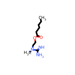 CCCCCC(=O)OCCN(C)C(=N)N